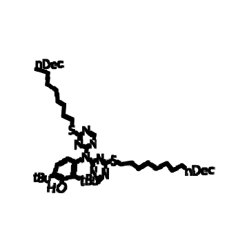 CCCCCCCCCCCCCCCCCCSc1ncnc(N(c2ncnc(SCCCCCCCCCCCCCCCCCC)n2)c2ccc(C(C)(C)C)c(O)c2C(C)(C)C)n1